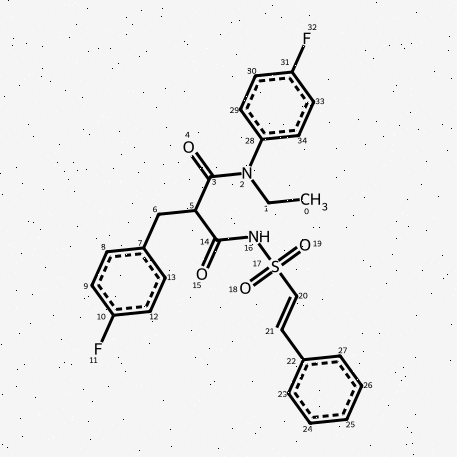 CCN(C(=O)C(Cc1ccc(F)cc1)C(=O)NS(=O)(=O)C=Cc1ccccc1)c1ccc(F)cc1